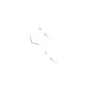 C.CCC(C)CC(C)(C)C.N=C=O.N=C=O